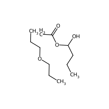 CCCC(O)OC(C)=O.CCCOCCC